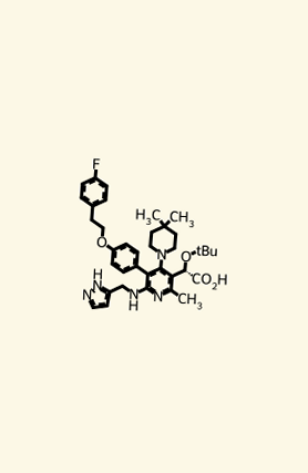 Cc1nc(NCc2ccn[nH]2)c(-c2ccc(OCCc3ccc(F)cc3)cc2)c(N2CCC(C)(C)CC2)c1[C@H](OC(C)(C)C)C(=O)O